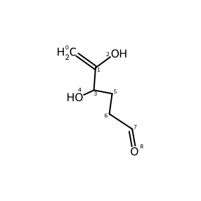 C=C(O)C(O)CCC=O